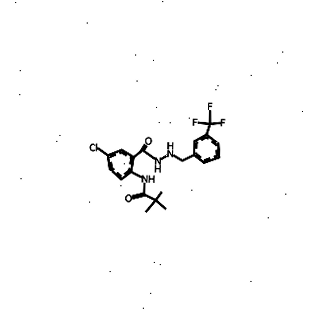 CC(C)(C)C(=O)Nc1ccc(Cl)cc1C(=O)NNCc1cccc(C(F)(F)F)c1